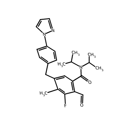 Cc1c(Cc2ccc(-n3cccn3)cc2)cc(C(=O)N(C(C)C)C(C)C)c(C=O)c1F